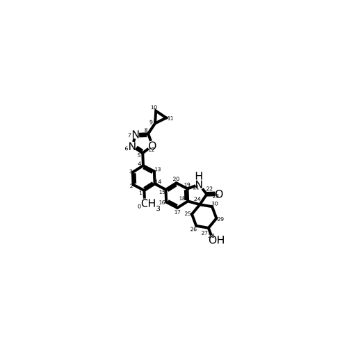 Cc1ccc(-c2nnc(C3CC3)o2)cc1-c1ccc2c(c1)NC(=O)C21CCC(O)CC1